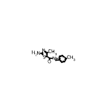 Cc1ccc(CNC(=O)c2sc(N)nc2C)cc1